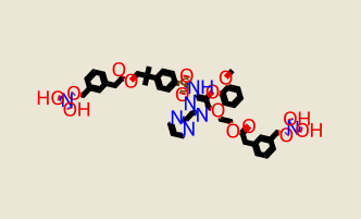 COc1ccccc1Oc1c(NS(=O)(=O)c2ccc(C(C)(C)COC(=O)Cc3cccc(CON(O)O)c3)cc2)nc(-c2ncccn2)nc1OCCOC(=O)Cc1cccc(CON(O)O)c1